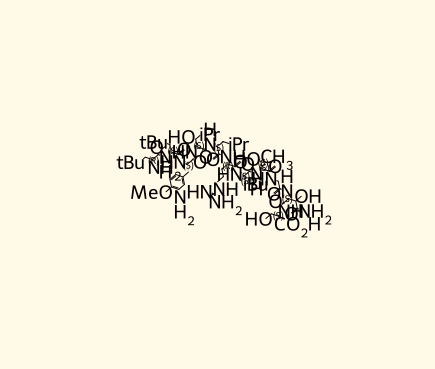 CC[C@H](C)[C@H](NC(=O)[C@@H](CCCNC(=N)N)NC(=O)[C@H](CC(C)C)NC(=O)[C@@H](NC(=O)[C@H](Cc1ccc(OC)c(N)c1)NC(=O)[C@H](CC(C)(C)C)NC(=O)[C@H](N)CC(C)(C)C)C(O)C(C)C)C(=O)N[C@H](C(=O)NCC(=O)N[C@H](C(=O)N[C@@H](CO)C(=O)O)C(O)C(N)=O)[C@H](C)O